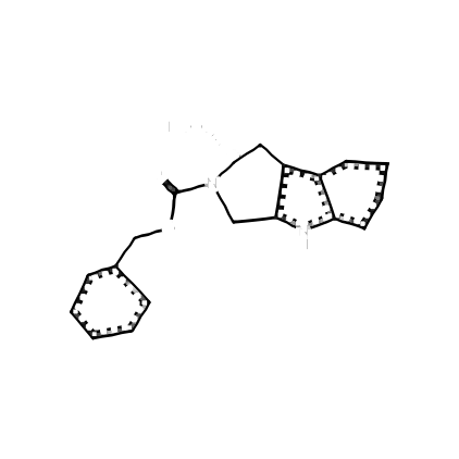 O=C(O)[C@@H]1Cc2c([nH]c3ccccc23)CN1C(=O)OCc1ccccc1